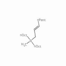 CCCCCC=CC[Si](C)(CCCCCCCC)CCCCCCCC